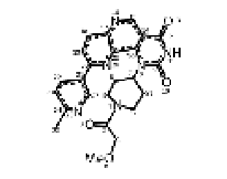 COCC(=O)N1CCC(n2c(=O)[nH]c(=O)c3cnc4ccc(-c5ccc(C)nc5)nc4c32)CC1